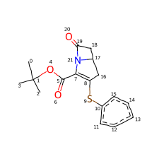 CC(C)(C)OC(=O)C1=C(Sc2ccccc2)CC2CC(=O)N12